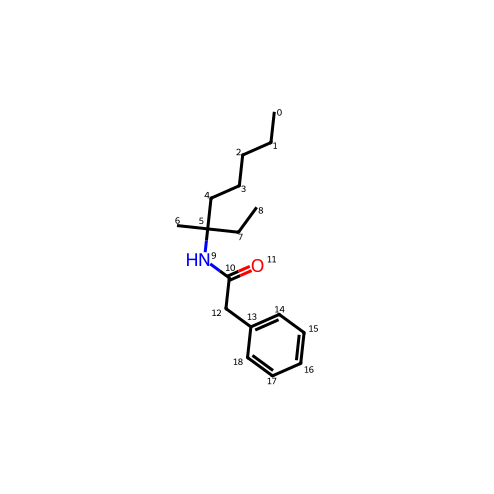 CCCCCC(C)(CC)NC(=O)Cc1ccccc1